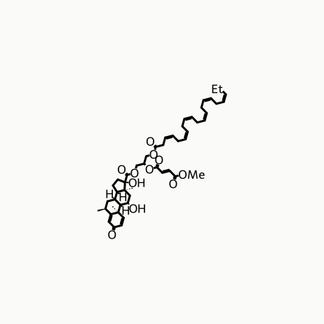 CC/C=C\C/C=C\C/C=C\C/C=C\C/C=C\C/C=C\CC(=O)OCC(COC(=O)[C@@]1(O)CC[C@H]2[C@@H]3C[C@H](C)C4=CC(=O)C=C[C@]4(C)[C@H]3[C@@H](O)C[C@@]21C)OC(=O)/C=C/C(=O)OC